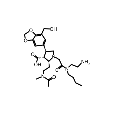 CCCCN(CCN)C(=O)CN1C[C@H](c2cc(CO)c3c(c2)OCO3)[C@@H](C(=O)O)[C@@H]1CCN(C)C(C)=O